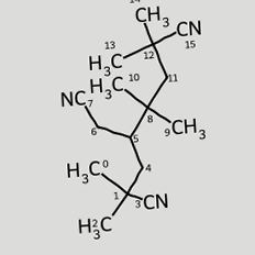 CC(C)(C#N)CC(CC#N)C(C)(C)CC(C)(C)C#N